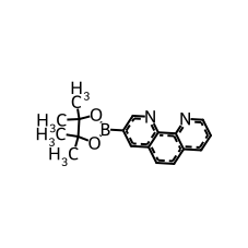 CC1(C)OB(c2cnc3c(ccc4cccnc43)c2)OC1(C)C